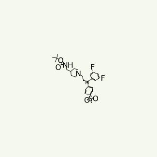 CC(C)(C)OC(=O)NCC1CCN(CC[C@H](c2ccc(S(C)(=O)=O)cc2)c2cc(F)cc(F)c2)CC1